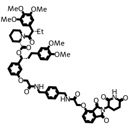 CC[C@H](C(=O)N1CCCC[C@H]1C(=O)O[C@H](CCc1ccc(OC)c(OC)c1)c1cccc(OCC(=O)NCc2ccc(CNC(=O)COc3cccc4c3C(=O)N(C3CCC(=O)NC3=O)C4=O)cc2)c1)c1cc(OC)c(OC)c(OC)c1